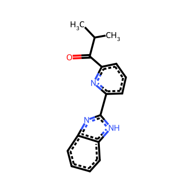 CC(C)C(=O)c1cccc(-c2nc3ccccc3[nH]2)n1